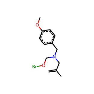 C=C(C)CN(COBr)Cc1ccc(OC)cc1